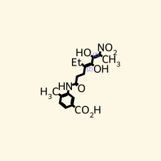 CC/C(CCC(=O)Nc1cc(C(=O)O)ccc1C)=C(O)\C(O)=C(/C)[N+](=O)[O-]